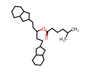 CC(C)CCCC(=O)OC(CCC1CC2CCCCC2C1)CCC1CC2CCCCC2C1